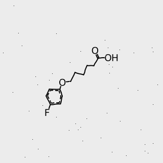 O=C(O)CCCCCOc1ccc(F)cc1